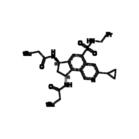 CC(C)CNS(=O)(=O)c1cc2c(c3cnc(C4CC4)cc13)[C@H](NC(=O)CC(C)(C)C)C[C@H]2NC(=O)CC(C)(C)C